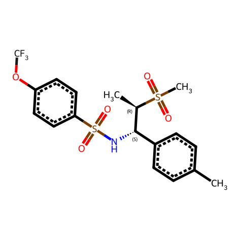 Cc1ccc([C@H](NS(=O)(=O)c2ccc(OC(F)(F)F)cc2)[C@@H](C)S(C)(=O)=O)cc1